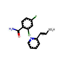 NC(=O)c1ccc(F)cc1Cl.O=S(=O)(O)/C=C/c1ccccn1